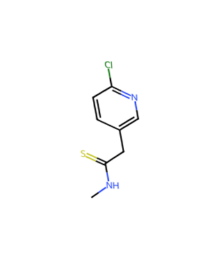 CNC(=S)Cc1ccc(Cl)nc1